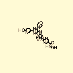 CCN(Cc1nc2c(N3CCOCC3)nc(-c3ccc(O)nc3)nc2n1C)c1ncc(C(=O)NO)cn1